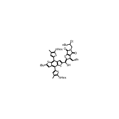 CCCCCCc1sc(-c2c3cc(C(C)CC)sc3c(-c3cc(C)c(CCCCCC)s3)c3cc(/C(S)=c4\sc5c(\c4=C/C(C)C)C(=O)N(CC(CC)CCCC)C5=O)sc23)cc1C